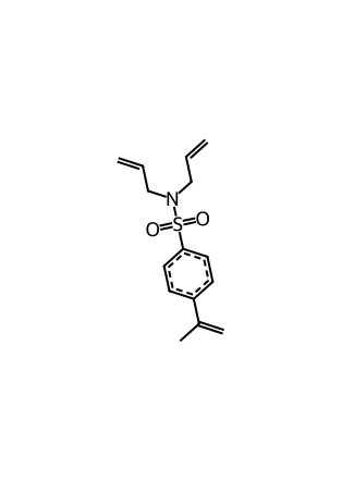 C=CCN(CC=C)S(=O)(=O)c1ccc(C(=C)C)cc1